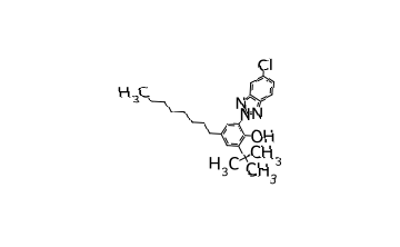 CCCCCCCCc1cc(-n2nc3ccc(Cl)cc3n2)c(O)c(C(C)(C)C)c1